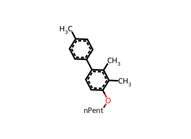 CCCCCOc1ccc(-c2ccc(C)cc2)c(C)c1C